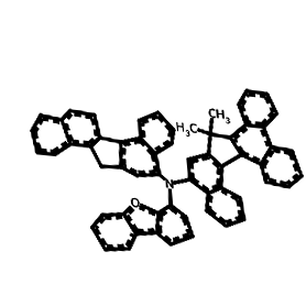 CC1(C)c2cc(N(c3cc4c(c5ccccc35)-c3ccc5ccccc5c3C4)c3cccc4c3oc3ccccc34)c3ccccc3c2-c2c1c1ccccc1c1ccccc21